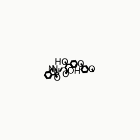 COc1cccc(Oc2ccc(C(O)[C@H](CCn3nnc4ccccc4c3=O)C(=O)O)cc2)c1